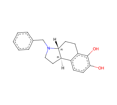 Oc1ccc2c(c1O)CC[C@@H]1[C@@H]2CCN1Cc1ccccc1